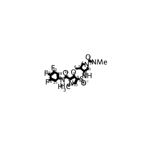 CNC(=O)N1CC2COc3c(cn(C)c3C(=O)Nc3cc(F)c(F)c(F)c3)[S+]([O-])NC2C1